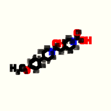 COc1ccc(C2CCN(C(O)CC3CCN(C(=O)O)CC3)CC2)cc1